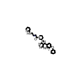 Nc1ncnc2c1c(-c1ccc(Oc3ccccc3)cc1)nn2C1CCCN(C(=O)/C=C/CNc2ccccn2)C1